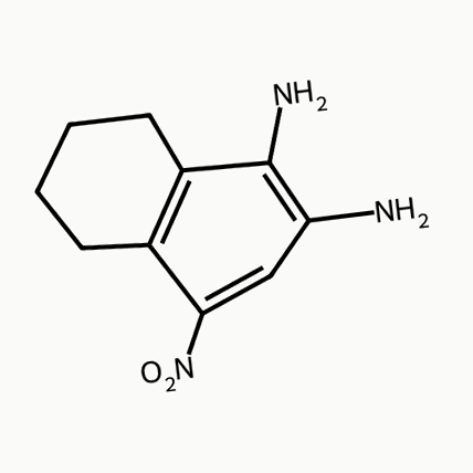 Nc1cc([N+](=O)[O-])c2c(c1N)CCCC2